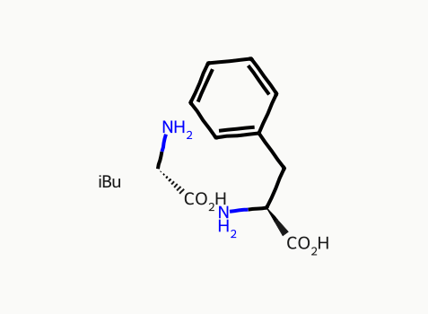 CC[C@H](C)[C@H](N)C(=O)O.N[C@@H](Cc1ccccc1)C(=O)O